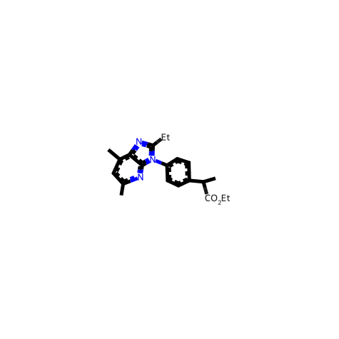 CCOC(=O)C(C)c1ccc(-n2c(CC)nc3c(C)cc(C)nc32)cc1